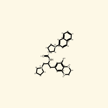 O=C(NC(Cc1cc(F)c2c(c1)OCCO2)CN1CCCC1)[C@@H]1CCN(c2ccc3ccccc3c2)C1